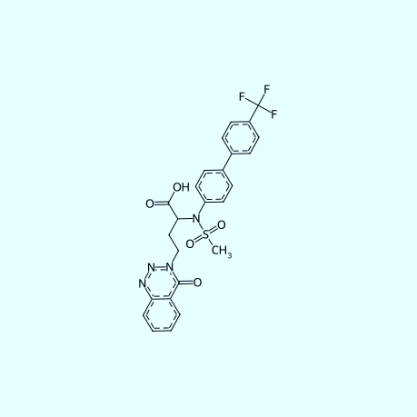 CS(=O)(=O)N(c1ccc(-c2ccc(C(F)(F)F)cc2)cc1)C(CCn1nnc2ccccc2c1=O)C(=O)O